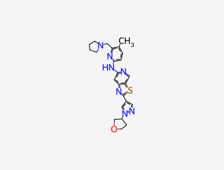 Cc1ccc(Nc2cc3nc(-c4cnn(C5CCOC5)c4)sc3cn2)nc1CN1CCCC1